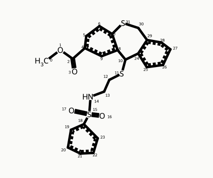 COC(=O)c1ccc2c(c1)C(SCCNS(=O)(=O)c1ccccc1)c1ccccc1CS2